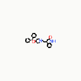 O=c1cc(CCN2CCC(OC(c3ccccc3)c3ccccc3)CC2)c2ccccc2[nH]1